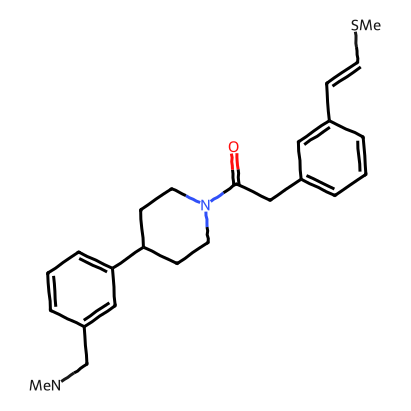 CNCc1cccc(C2CCN(C(=O)Cc3cccc(/C=C/SC)c3)CC2)c1